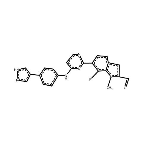 Cn1c(C=O)cc2ccc(-c3nccc(Nc4ccc(-c5cn[nH]c5)cc4)n3)c(F)c21